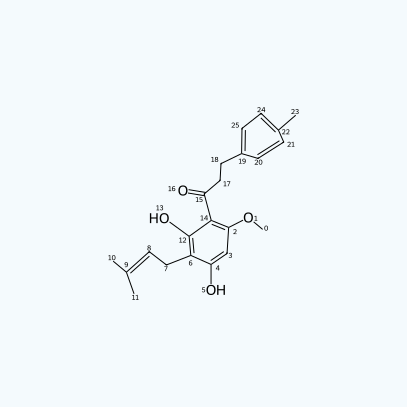 COc1cc(O)c(CC=C(C)C)c(O)c1C(=O)CCc1ccc(C)cc1